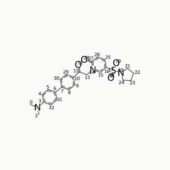 CN(C)c1ccc(-c2ccc(C(=O)Cn3cc(S(=O)(=O)N4CCCC4)ccc3=O)cc2)cc1